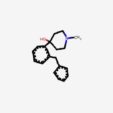 CN1CCC(O)(c2ccccc2Cc2ccccc2)CC1